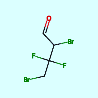 O=CC(Br)C(F)(F)CBr